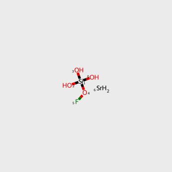 O[Si](O)(O)OF.[SrH2]